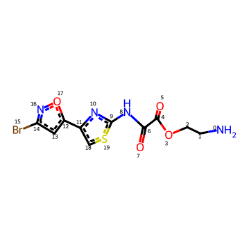 NCCOC(=O)C(=O)Nc1nc(-c2cc(Br)no2)cs1